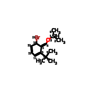 C[SiH](C)OC=C1C(C(C)(C)C)=CC=CC1Br